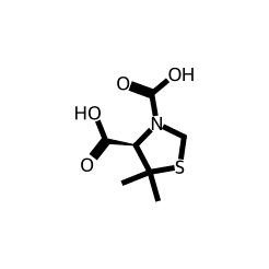 CC1(C)SCN(C(=O)O)[C@@H]1C(=O)O